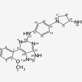 COc1ccccc1-c1nc(Nc2ccc(N3CCC(N)C3)cc2)nc2[nH]cnc12